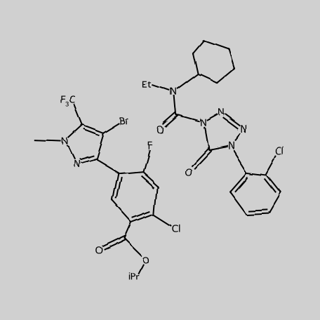 CC(C)OC(=O)c1cc(-c2nn(C)c(C(F)(F)F)c2Br)c(F)cc1Cl.CCN(C(=O)n1nnn(-c2ccccc2Cl)c1=O)C1CCCCC1